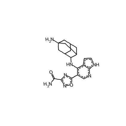 NC(=O)c1noc(-c2cnc3[nH]ccc3c2NC2C3CC4CC2CC(N)(C4)C3)n1